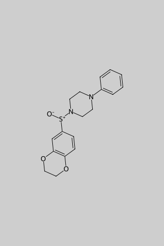 [O-][S+](c1ccc2c(c1)OCCO2)N1CCN(c2ccccc2)CC1